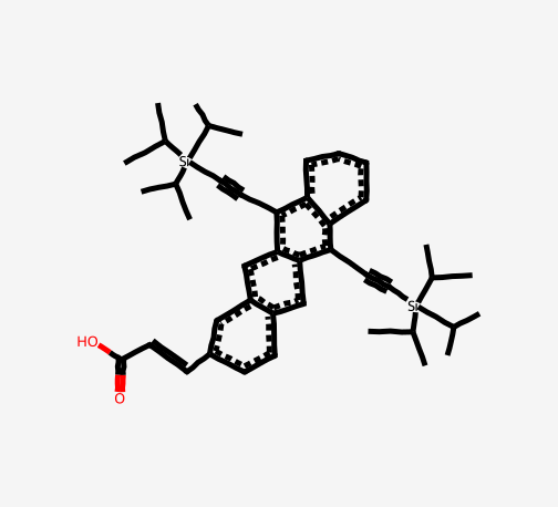 CC(C)[Si](C#Cc1c2ccccc2c(C#C[Si](C(C)C)(C(C)C)C(C)C)c2cc3cc(C=CC(=O)O)ccc3cc12)(C(C)C)C(C)C